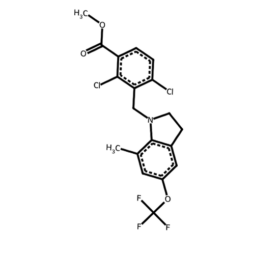 COC(=O)c1ccc(Cl)c(CN2CCc3cc(OC(F)(F)F)cc(C)c32)c1Cl